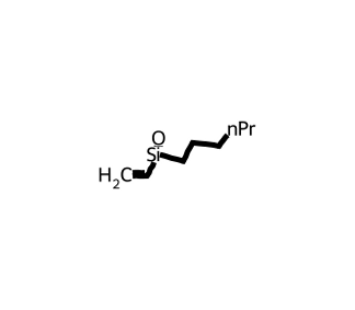 C=C[Si](=O)CCCCCC